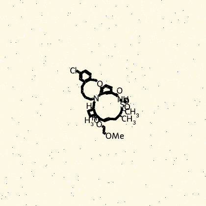 COCCO[C@@]1(C)/C=C/C[C@H](C)[C@@H](C)S(=O)(=O)NC(=O)c2ccc3c(c2)N(CCCCc2cc(Cl)ccc2CO3)C[C@@H]2CC[C@H]21